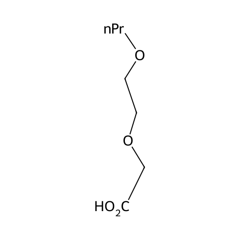 CCCOCCOCC(=O)O